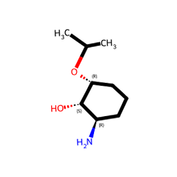 CC(C)O[C@@H]1CCC[C@@H](N)[C@@H]1O